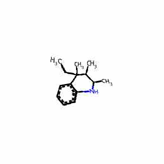 CCC1(C)c2ccccc2NC(C)C1C